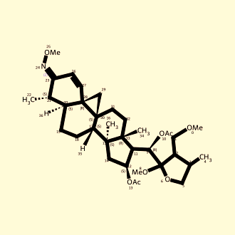 COCC1C(C)COC1(OC)[C@H](OC(C)=O)C1[C@@H](OC(C)=O)C[C@@]2(C)[C@@H]3CC[C@H]4[C@H](C)/C(=N/OC)C=C[C@@]45C[C@@]35CC[C@]12C